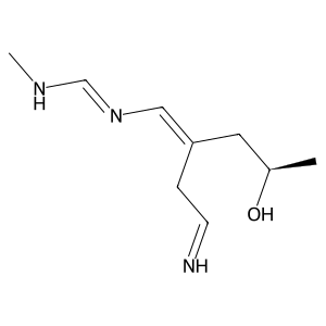 CN/C=N/C=C(\CC=N)C[C@@H](C)O